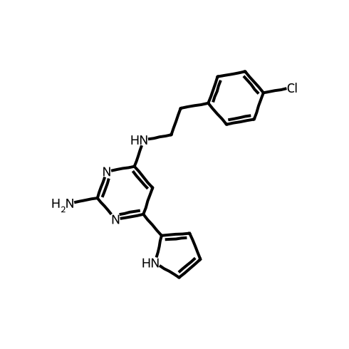 Nc1nc(NCCc2ccc(Cl)cc2)cc(-c2ccc[nH]2)n1